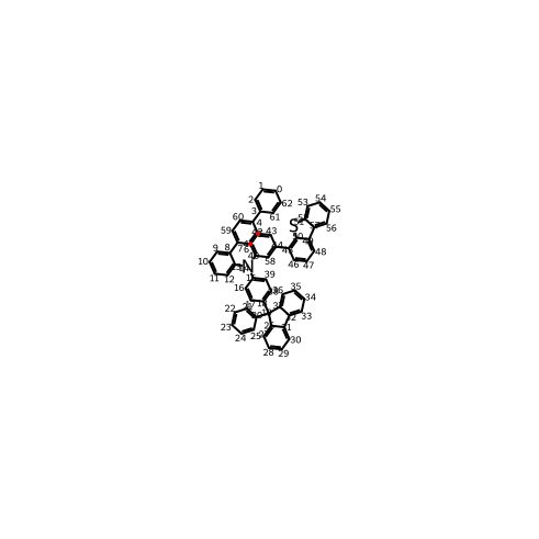 c1ccc(-c2ccc(-c3ccccc3N(c3ccc(C4(c5ccccc5)c5ccccc5-c5ccccc54)cc3)c3cccc(-c4cccc5c4sc4ccccc45)c3)cc2)cc1